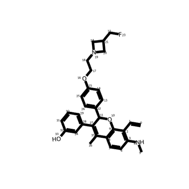 C=Cc1c(NC)ccc2c1OC(c1ccc(OCCN3CC(CF)C3)cc1)C(c1cccc(O)c1)=C2C